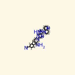 N#Cc1ccc2c(c1)CC1(CCN(c3cnc4c(N5CCCc6ncccc65)n[nH]c4n3)CC1)[C@@H]2N